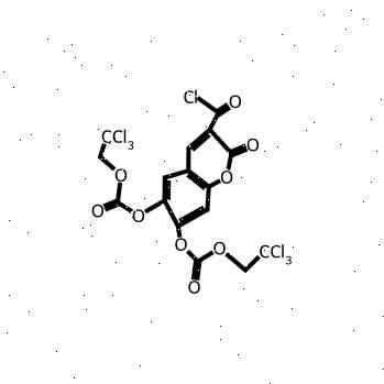 O=C(OCC(Cl)(Cl)Cl)Oc1cc2cc(C(=O)Cl)c(=O)oc2cc1OC(=O)OCC(Cl)(Cl)Cl